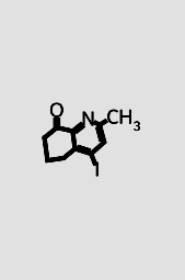 Cc1cc(I)c2c(n1)C(=O)CCC2